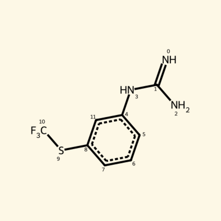 N=C(N)Nc1cccc(SC(F)(F)F)c1